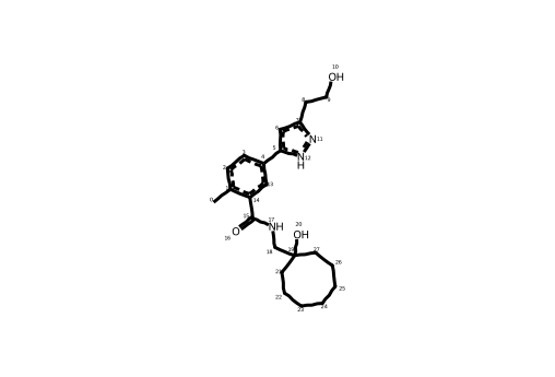 Cc1ccc(-c2cc(CCO)n[nH]2)cc1C(=O)NCC1(O)CCCCCCC1